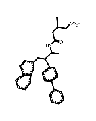 CC(CC(=O)O)CC(=O)NC(C)C(Cc1ccc2ccccc2c1)c1ccc(-c2ccccc2)cc1